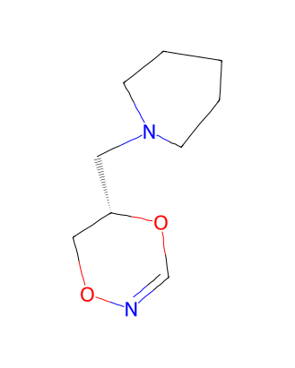 C1=NOC[C@H](CN2CCCCC2)O1